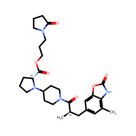 Cc1cc(C[C@@H](C)C(=O)N2CCC(N3CCC[C@@H]3C(=O)OCCCN3CCCC3=O)CC2)cc2oc(=O)[nH]c12